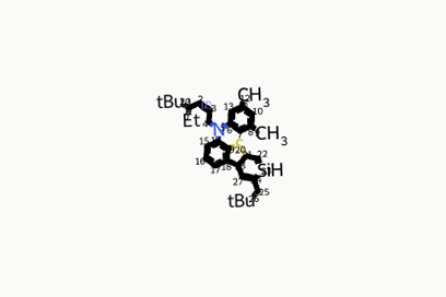 CCC(/C=C\CN(c1cc(C)cc(C)c1)c1cccc2c1SC1C=[SiH]C(CC(C)(C)C)=CC21)C(C)(C)C